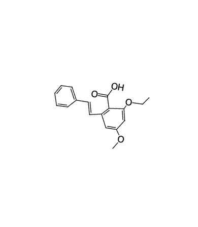 CCOc1cc(OC)cc(/C=C/c2ccccc2)c1C(=O)O